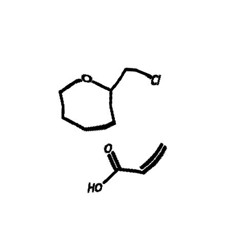 C=CC(=O)O.ClCC1CCCCO1